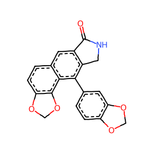 O=C1NCc2c1cc1ccc3c(c1c2-c1ccc2c(c1)OCO2)OCO3